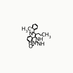 CCCc1c(-c2ccccc2C)nc2ccccc2c1NC(=N)NC=O